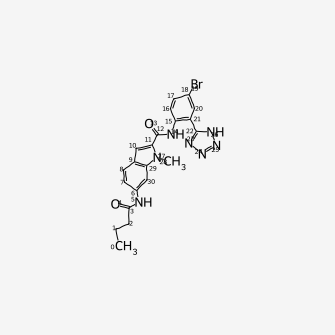 CCCC(=O)Nc1ccc2cc(C(=O)Nc3ccc(Br)cc3-c3nnn[nH]3)n(C)c2c1